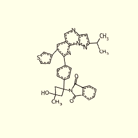 CC(C)c1cc2ncc3cc(-c4ccsc4)c(-c4ccc(C5(N6C(=O)c7ccccc7C6=O)CC(C)(O)C5)cc4)nc3n2n1